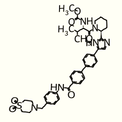 COC(=O)N[C@H](C(=O)N1CCCC[C@H]1c1ncc(-c2ccc(-c3ccc(C(=O)Nc4ccc(CN5CCS(=O)(=O)CC5)cc4)cc3)cc2)[nH]1)C(C)C